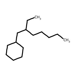 CCCCC[C](CC)CC1CCCCC1